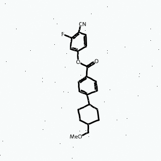 COCC1CCC(c2ccc(C(=O)Oc3ccc(C#N)c(F)c3)cc2)CC1